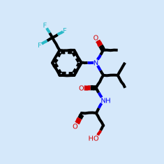 CC(=O)N(c1cccc(C(F)(F)F)c1)C(C(=O)NC(C=O)CO)C(C)C